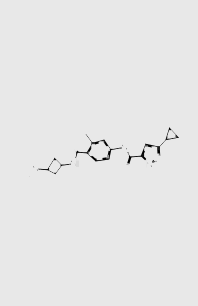 Cc1cc(NC(=O)c2cc(C3CC3)on2)ccc1C(=O)NC1CC(N)C1